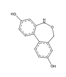 Oc1ccc2c(c1)CONc1cc(O)ccc1-2